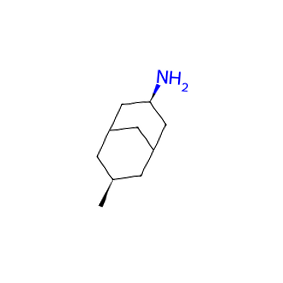 C[C@H]1CC2CC(C1)C[C@H](N)C2